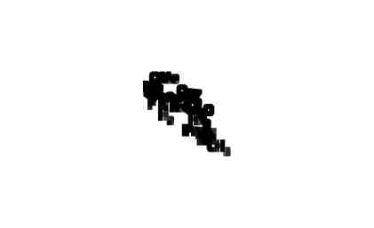 COc1cc(/C(N)=C/C(=N)C(=O)N2CC[C@H](C(=O)NCc3nc(C)nn3C(C)C)CC23CC3)c(F)cn1